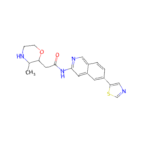 CC1NCCOC1CC(=O)Nc1cc2cc(-c3cncs3)ccc2cn1